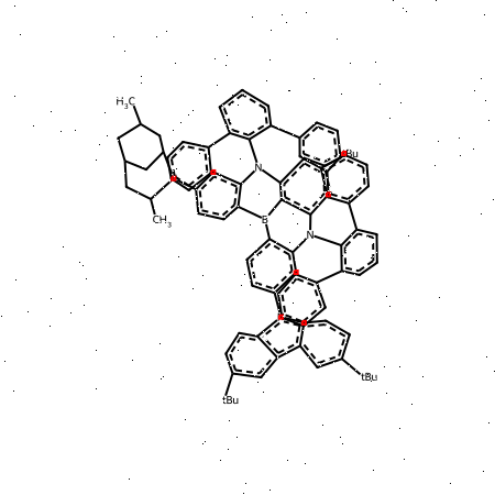 CC1CC2CC(C)N(c3ccc4c(c3)N(c3c(-c5ccccc5)cccc3-c3ccccc3)c3cc(C(C)(C)C)cc5c3B4c3ccc(-n4c6ccc(C(C)(C)C)cc6c6cc(C(C)(C)C)ccc64)cc3N5c3c(-c4ccccc4)cccc3-c3ccccc3)C(C1)C2